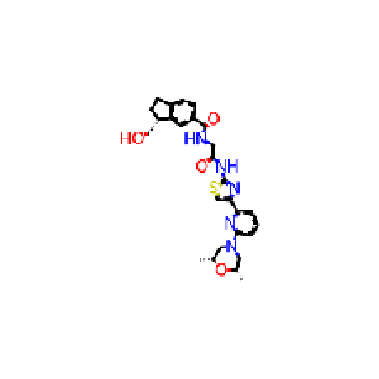 C[C@@H]1CN(c2cccc(-c3csc(NC(=O)CNC(=O)c4ccc5c(c4)[C@H](CO)CC5)n3)n2)C[C@H](C)O1